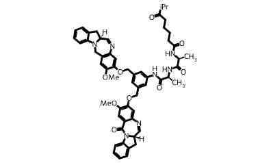 COc1cc2c(cc1OCc1cc(COc3cc4c(cc3OC)C(=O)N3c5ccccc5C[C@H]3C=N4)cc(NC(=O)[C@H](C)NC(=O)[C@H](C)NC(=O)CCCCC(=O)C(C)C)c1)N=C[C@@H]1Cc3ccccc3N1C2